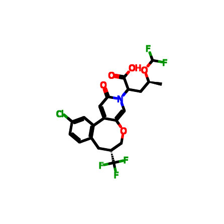 C[C@@H](CC(C(=O)O)n1cc2c(cc1=O)-c1cc(Cl)ccc1C[C@@H](C(F)(F)F)CO2)OC(F)F